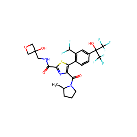 CC1CCCN1C(=O)c1nc(C(=O)NCC2(O)COC2)sc1-c1ccc(C(O)(C(F)(F)F)C(F)(F)F)cc1C(F)F